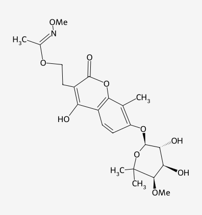 CON=C(C)OCCc1c(O)c2ccc(O[C@@H]3OC(C)(C)[C@H](OC)[C@H](O)[C@H]3O)c(C)c2oc1=O